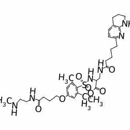 CNCCNC(=O)CCCOc1cc(C)c(S(=O)(=O)NC(CNC(=O)CCCCc2ccc3c(n2)NCCC3)C(=O)OC)c(C)c1